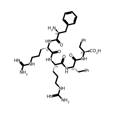 CC(C)C[C@H](NC(=O)[C@H](CC(C)C)NC(=O)[C@H](CCCNC(=N)N)NC(=O)[C@H](CCCNC(=N)N)NC(=O)[C@@H](N)Cc1ccccc1)C(=O)O